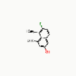 C#Cc1c(F)ccc2cc(O)cc(C=O)c12